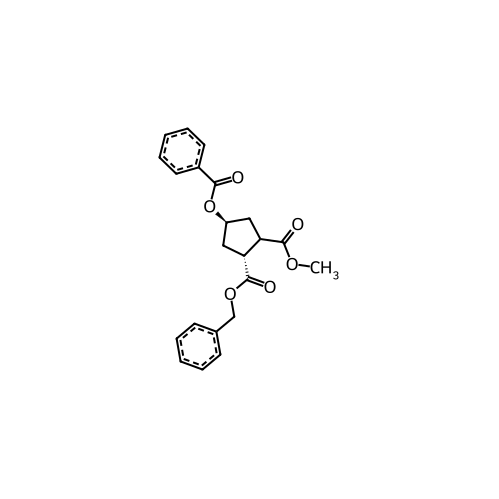 COC(=O)C1C[C@H](OC(=O)c2ccccc2)C[C@H]1C(=O)OCc1ccccc1